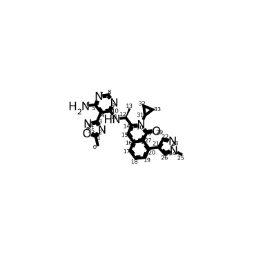 Cc1nc(-c2c(N)ncnc2N[C@@H](C)c2cc3cccc(-c4cnn(C)c4)c3c(=O)n2C2CC2)no1